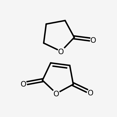 O=C1C=CC(=O)O1.O=C1CCCO1